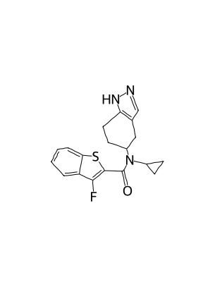 O=C(c1sc2ccccc2c1F)N(C1CC1)C1CCc2[nH]ncc2C1